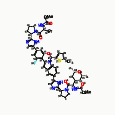 COC(=O)NC(C(=O)N1CCC[C@H]1c1ncc(-c2ccc3c(c2)cc2n3C(c3ccc(C(F)(F)F)s3)Oc3cc(-c4cnc([C@@H]5CCCN5C(=O)[C@@H](NC(=O)OC)C(C)C)[nH]4)cc(F)c3-2)[nH]1)C1C[C@@H](C)O[C@@H](C)C1